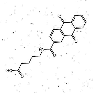 O=C(O)CCCCNC(=O)c1ccc2c(c1)C(=O)c1ccccc1C2=O